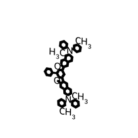 Cc1cccc(N(c2ccc3cc4c(cc3c2)oc2c(-c3ccccc3)c3oc5cc6cc(N(c7cccc(C)c7)c7ccccc7C)ccc6cc5c3cc24)c2ccccc2C)c1